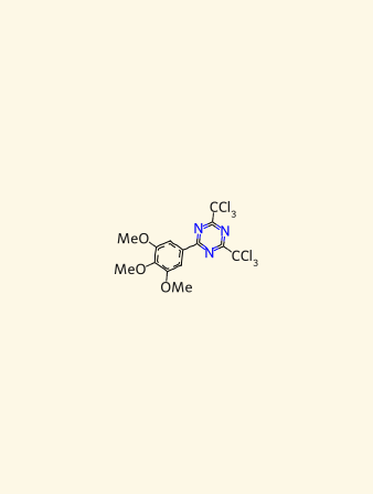 COc1cc(-c2nc(C(Cl)(Cl)Cl)nc(C(Cl)(Cl)Cl)n2)cc(OC)c1OC